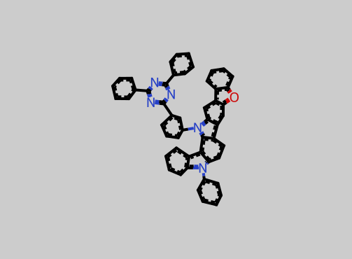 c1ccc(-c2nc(-c3ccccc3)nc(-c3cccc(-n4c5cc6c(cc5c5ccc7c(c8ccccc8n7-c7ccccc7)c54)oc4ccccc46)c3)n2)cc1